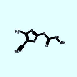 C#Cc1sc(OC(=O)NC(C)(C)C)nc1C